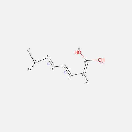 CC(/C=C/C=C/C(C)C)=C(O)O